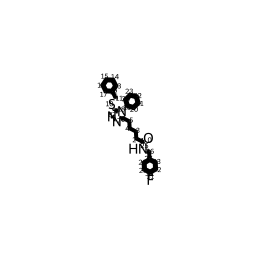 O=C(CCCCc1nnc(SCc2ccccc2)n1-c1ccccc1)NCc1ccc(F)cc1